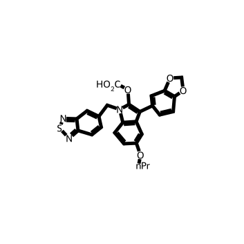 CCCOc1ccc2c(c1)c(-c1ccc3c(c1)OCO3)c(OC(=O)O)n2Cc1ccc2nsnc2c1